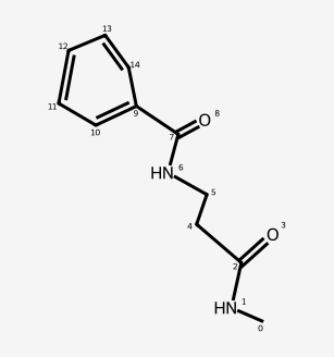 CNC(=O)CCNC(=O)c1ccccc1